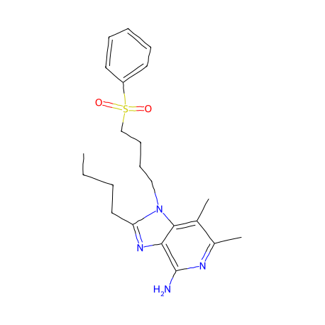 CCCCc1nc2c(N)nc(C)c(C)c2n1CCCCS(=O)(=O)c1ccccc1